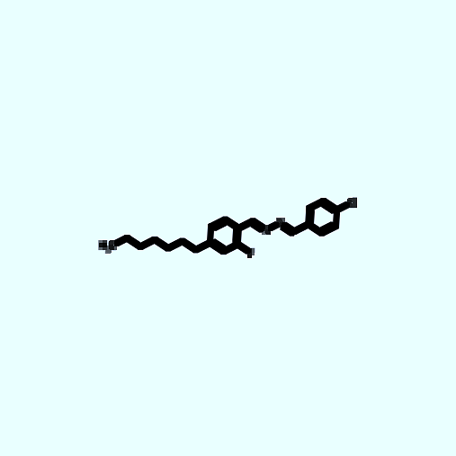 CCCCCCCc1ccc(C=NN=Cc2ccc(Cl)cc2)c(F)c1